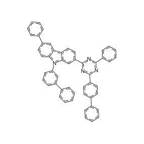 c1ccc(-c2ccc(-c3nc(-c4ccccc4)nc(-c4ccc5c6cc(-c7ccccc7)ccc6n(-c6cccc(-c7ccccc7)c6)c5c4)n3)cc2)cc1